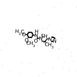 COc1ccc(NC(=O)N(S)C[C@H](C)Cn2ccnc2)cc1OC